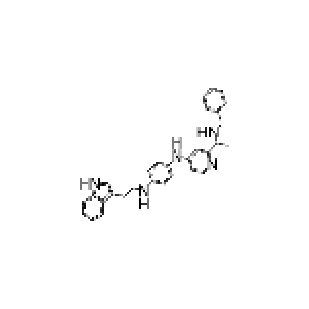 CC(NCc1ccccc1)c1cc(Nc2ccc(NCCc3c[nH]c4ccccc34)cc2)ccn1